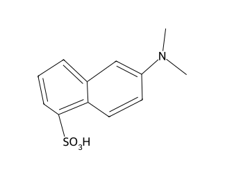 CN(C)c1ccc2c(S(=O)(=O)O)cccc2c1